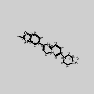 Cc1nc2cc(C3=CCN4C=C(N5CCN[C@@H](C)C5)C=CC4=N3)ccc2o1